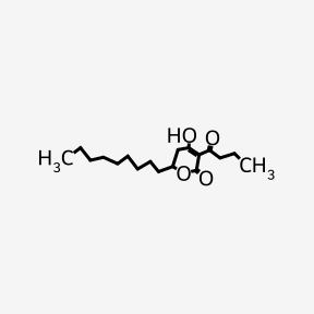 CCCCCCCCCC1CC(O)=C(C(=O)CCC)C(=O)O1